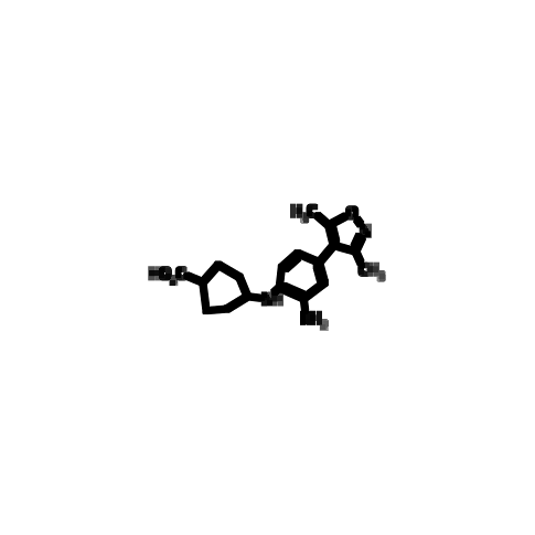 Cc1noc(C)c1-c1ccc(NC2CCC(C(=O)O)CC2)c(N)c1